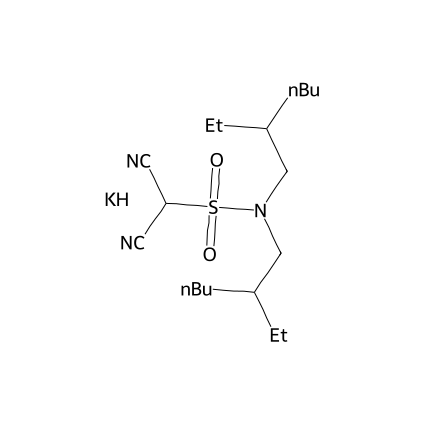 CCCCC(CC)CN(CC(CC)CCCC)S(=O)(=O)C(C#N)C#N.[KH]